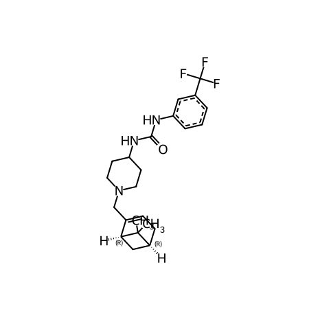 CC1(C)[C@H]2CC=C(CN3CCC(NC(=O)Nc4cccc(C(F)(F)F)c4)CC3)[C@@H]1C2